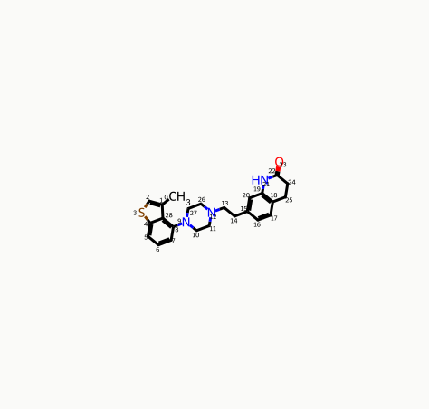 Cc1csc2cccc(N3CCN(CCc4ccc5c(c4)NC(=O)CC5)CC3)c12